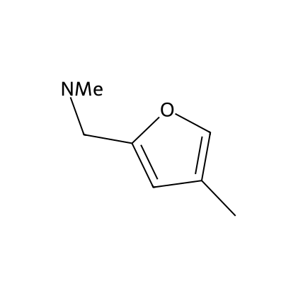 CNCc1cc(C)co1